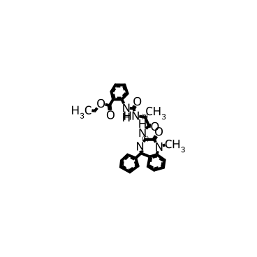 CCOC(=O)c1ccccc1NC(=O)N[C@@H](C)C(=O)N[C@H]1N=C(c2ccccc2)c2ccccc2N(C)C1=O